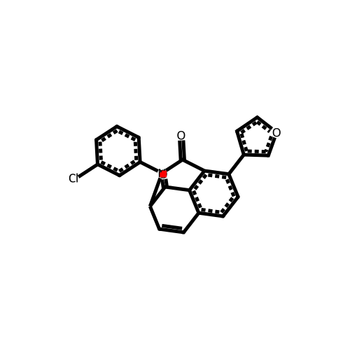 O=C1c2c3ccc(-c4ccoc4)c2C(=O)N(c2cccc(Cl)c2)C1C=C3